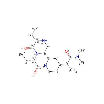 CCN(C(=O)C(C)C1CCN(C(=O)[C@H](CC(C)C)N2CCN[C@@H](CC(C)C)C2=O)CC1)C(C)C